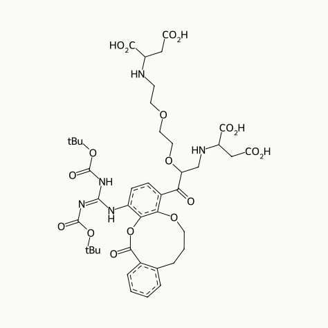 CC(C)(C)OC(=O)N=C(NC(=O)OC(C)(C)C)Nc1ccc(C(=O)C(CNC(CC(=O)O)C(=O)O)OCCOCCNC(CC(=O)O)C(=O)O)c2c1OC(=O)c1ccccc1CCCO2